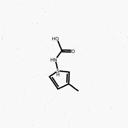 CC1=C[SH](NC(=O)O)C=C1